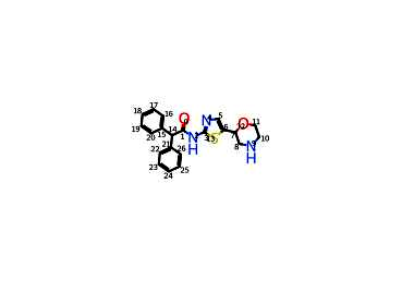 O=C(Nc1ncc(C2CNCCO2)s1)C(c1ccccc1)c1ccccc1